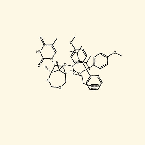 COc1ccc(C(OC[C@@]23COCO[C@@H]([C@H](n4cc(C)c(=O)[nH]c4=O)O2)[C@@H]3OP(OCCC#N)N(C(C)C)C(C)C)(c2ccccc2)c2ccc(OC)cc2)cc1